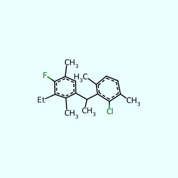 CCc1c(C)c(C(C)c2c(C)ccc(C)c2Cl)cc(C)c1F